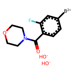 [B+2]c1ccc(C(=O)N2CCOCC2)c(F)c1.[OH-].[OH-]